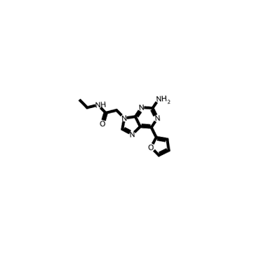 CCNC(=O)Cn1cnc2c(-c3ccco3)nc(N)nc21